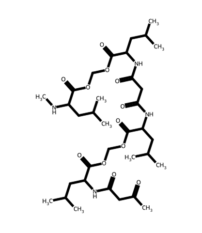 CNC(CC(C)C)C(=O)OCOC(=O)C(CC(C)C)NC(=O)CC(=O)NC(CC(C)C)C(=O)OCOC(=O)C(CC(C)C)NC(=O)CC(C)=O